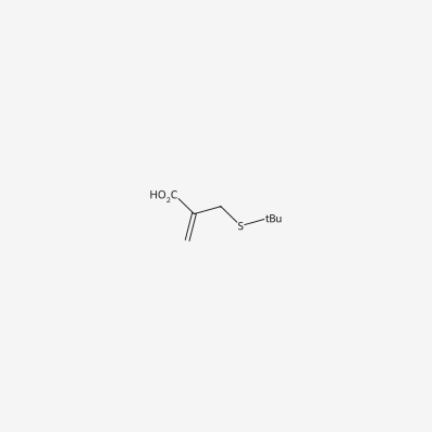 C=C(CSC(C)(C)C)C(=O)O